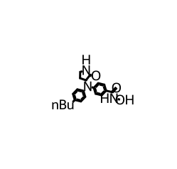 CCCCc1ccc(N(c2ccc(C(=O)NO)cc2)C2CCNC2=O)cc1